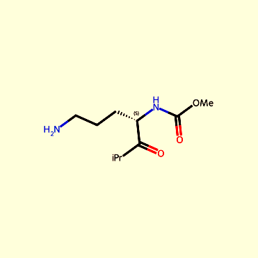 COC(=O)N[C@@H](CCCN)C(=O)C(C)C